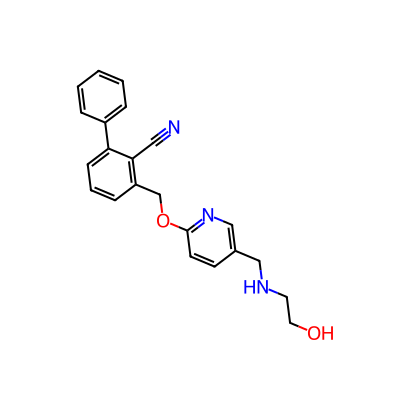 N#Cc1c(COc2ccc(CNCCO)cn2)cccc1-c1ccccc1